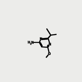 COc1cc(N)nc(C(C)C)n1